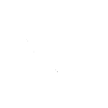 COCOc1cc[c]([Sn]([CH3])([CH3])[CH3])nc1